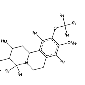 [2H]c1c2c(c([2H])c(OC([2H])([2H])[2H])c1OC)C1CC(O)C(CC(C)C)C([2H])([2H])N1CC2